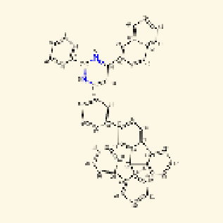 c1ccc(-c2nc(-c3cccc(-c4ccc5c(c4)C4(c6ccccc6-c6ccccc64)c4ccccc4-5)c3)cc(-c3ccc4ccccc4c3)n2)cc1